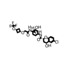 O=C(CO[C@H]1C[C@@H](OC(F)(F)F)C1)NC12CCC(NC(=O)[C@H]3C[C@@H](O)c4cc(Cl)ccc4O3)(CC1)C[C@@H]2O